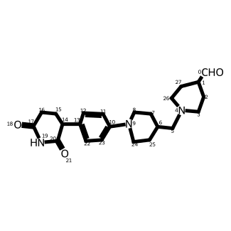 O=CC1CCN(CC2CCN(c3ccc(C4CCC(=O)NC4=O)cc3)CC2)CC1